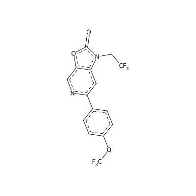 O=c1oc2cnc(-c3ccc(OC(F)(F)F)cc3)cc2n1CC(F)(F)F